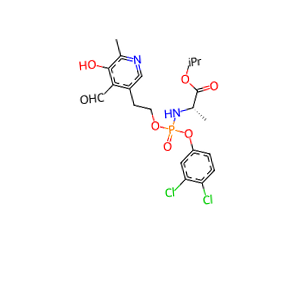 Cc1ncc(CCOP(=O)(N[C@@H](C)C(=O)OC(C)C)Oc2ccc(Cl)c(Cl)c2)c(C=O)c1O